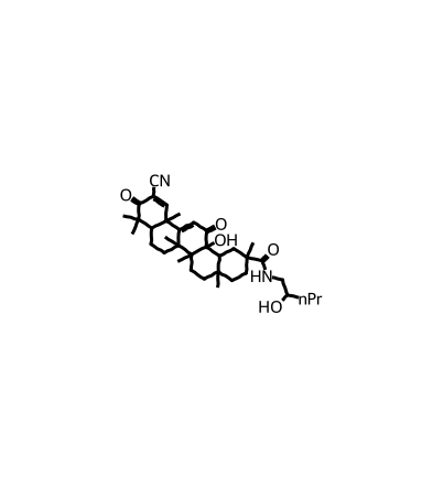 CCCC(O)CNC(=O)C1(C)CCC2(C)CCC3(C)C4(C)CCC5C(C)(C)C(=O)C(C#N)=CC5(C)C4=CC(=O)C3(O)C2C1